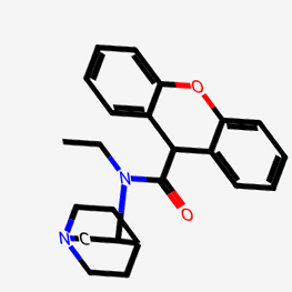 CCN(C(=O)C1c2ccccc2Oc2ccccc21)C1CN2CCC1CC2